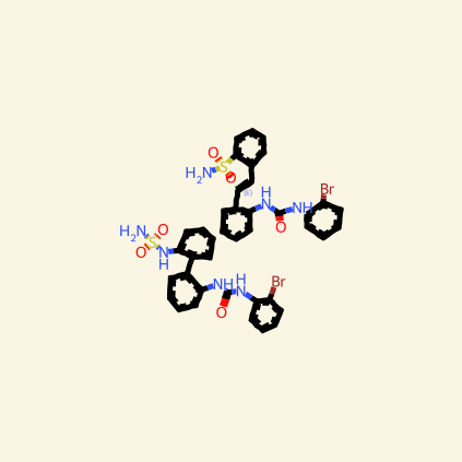 NS(=O)(=O)Nc1ccccc1-c1ccccc1NC(=O)Nc1ccccc1Br.NS(=O)(=O)c1ccccc1/C=C/c1ccccc1NC(=O)Nc1ccccc1Br